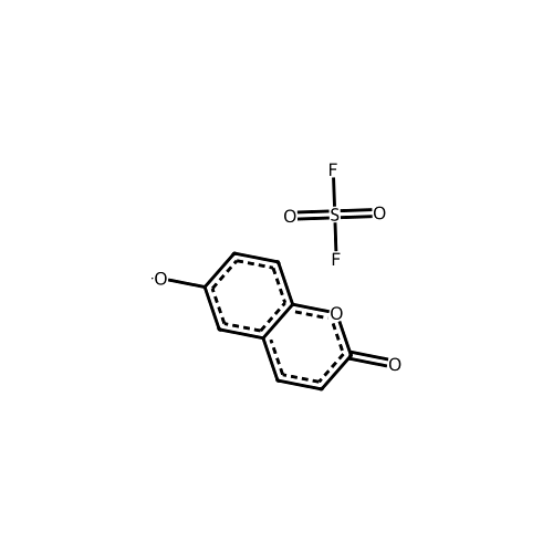 O=S(=O)(F)F.[O]c1ccc2oc(=O)ccc2c1